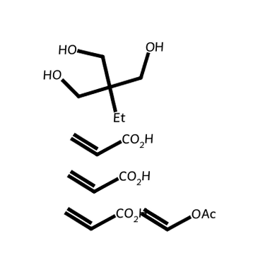 C=CC(=O)O.C=CC(=O)O.C=CC(=O)O.C=COC(C)=O.CCC(CO)(CO)CO